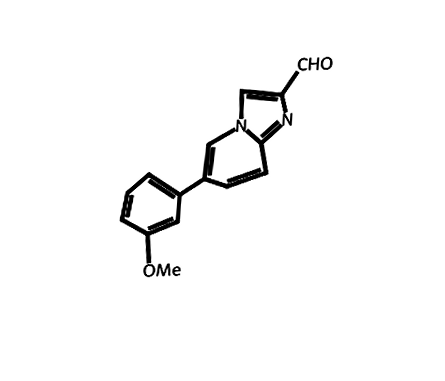 COc1cccc(-c2ccc3nc(C=O)cn3c2)c1